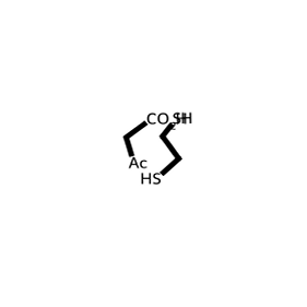 CC(=O)CC(=O)O.SCCS